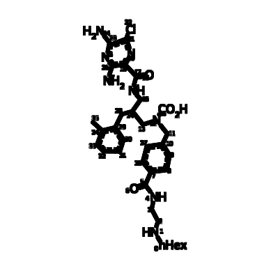 CCCCCCNCCNC(=O)c1ccc(CN(CC(CNC(=O)c2nc(Cl)c(N)nc2N)Cc2ccccc2C)C(=O)O)cc1